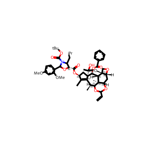 C=CC1O[C@H]2C[C@H]3OC[C@@]3(OC(C)=O)[C@H]3[C@H](OC(=O)c4ccccc4)[C@]4(C(C)(C)O)C[C@H](OC(=O)[C@@H]5OC(c6ccc(OC)cc6OC)N(C(=O)OC(C)(C)C)C5CC(C)C)C(C)=C4[C@H](C)[C@H](O1)[C@]23C